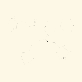 O=C(OCc1ccccc1)[C@H]1O[C@@H](OCc2ccccc2)[C@H](OCc2ccccc2)[C@@H](OCc2ccccc2)[C@@H]1O